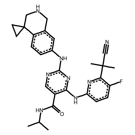 CC(C)NC(=O)c1cnc(Nc2ccc3c(c2)CNCC32CC2)nc1Nc1ccc(F)c(C(C)(C)C#N)n1